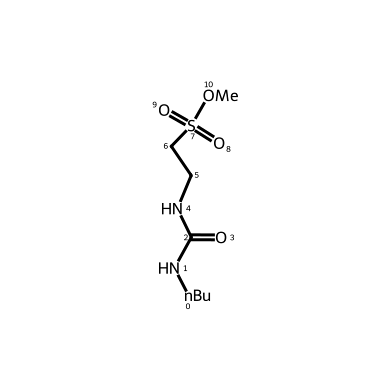 CCCCNC(=O)NCCS(=O)(=O)OC